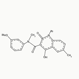 COc1cccc(N(C)C(=O)c2c(O)c3cc(C)ccc3n(C(C)C)c2=O)c1